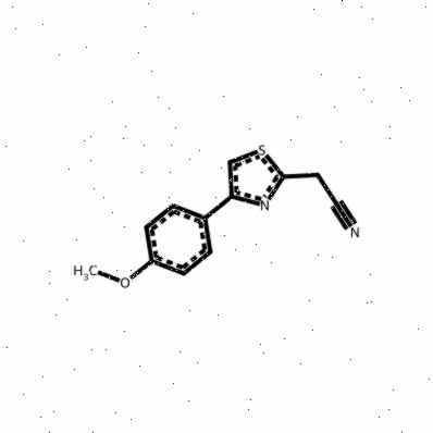 COc1ccc(-c2csc(CC#N)n2)cc1